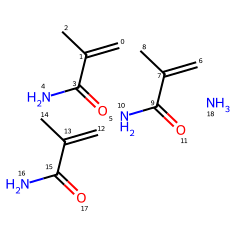 C=C(C)C(N)=O.C=C(C)C(N)=O.C=C(C)C(N)=O.N